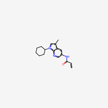 C=CC(=O)Nc1cnc2c(c1)c(C)cn2C1CCCCC1